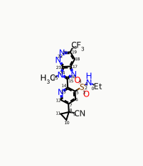 CCNS(=O)(=O)c1cc(C2(C#N)CC2)cnc1-c1nc2cc(C(F)(F)F)nnc2n1C